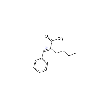 CCCC/C(=C\c1ccccc1)C(=O)O